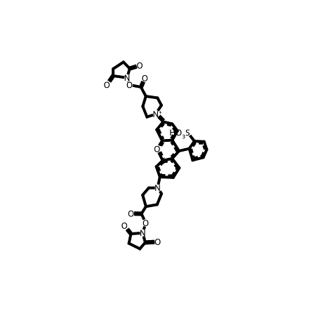 O=C(ON1C(=O)CCC1=O)C1CCN(c2ccc3c(-c4ccccc4S(=O)(=O)O)c4ccc(=[N+]5CCC(C(=O)ON6C(=O)CCC6=O)CC5)cc-4oc3c2)CC1